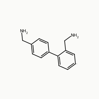 NCc1ccc(-c2cc[c]cc2CN)cc1